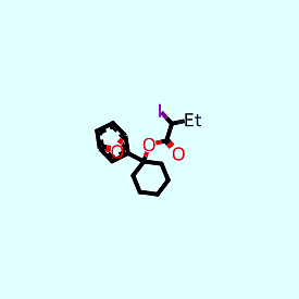 CCC(I)C(=O)OC1(c2cc3ccc2o3)CCCCC1